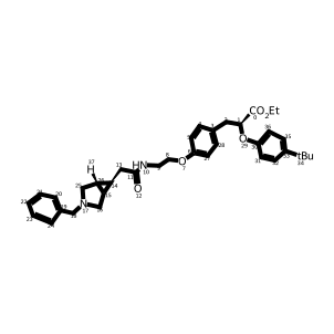 CCOC(=O)[C@H](Cc1ccc(OCCNC(=O)C[C@H]2C3CN(Cc4ccccc4)C[C@@H]32)cc1)Oc1ccc(C(C)(C)C)cc1